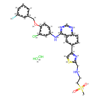 CS(=O)(=O)CCNCc1nc(-c2ccc3ncnc(Nc4ccc(OCc5cccc(F)c5)c(Cl)c4)c3c2)cs1.Cl.Cl